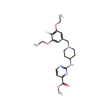 CCOc1cc(CN2CCC(Nc3nccc(C(=O)OC)n3)CC2)cc(OCC)c1F